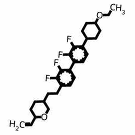 C=CC1CCC(CCc2ccc(-c3ccc(C4CCC(OCC)CC4)c(F)c3F)c(F)c2F)CO1